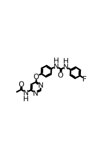 CC(=O)Nc1cc(Oc2ccc(NC(=O)Nc3ccc(F)cc3)cc2)ncn1